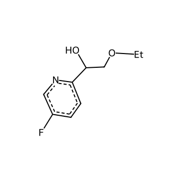 CCOCC(O)c1ccc(F)cn1